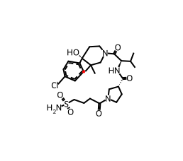 CC(C)[C@@H](NC(=O)[C@@H]1CCN(C(=O)CCCS(N)(=O)=O)C1)C(=O)N1CC[C@](O)(c2ccc(Cl)cc2)C(C)(C)C1